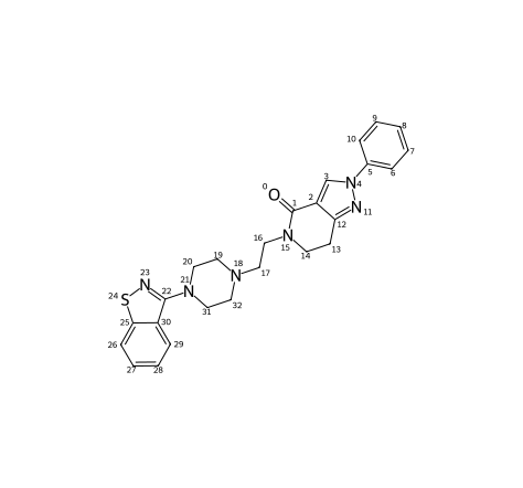 O=C1c2cn(-c3ccccc3)nc2CCN1CCN1CCN(c2nsc3ccccc23)CC1